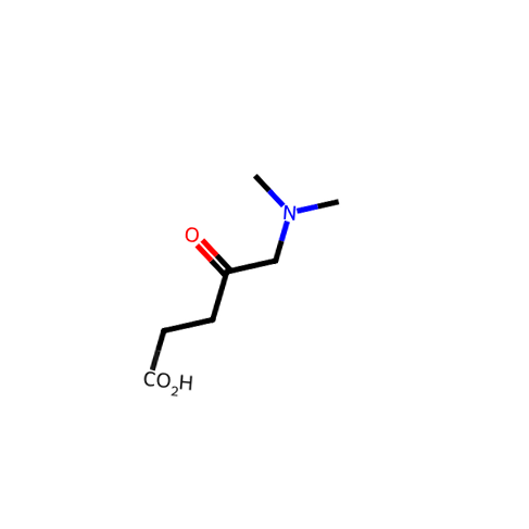 CN(C)CC(=O)CCC(=O)O